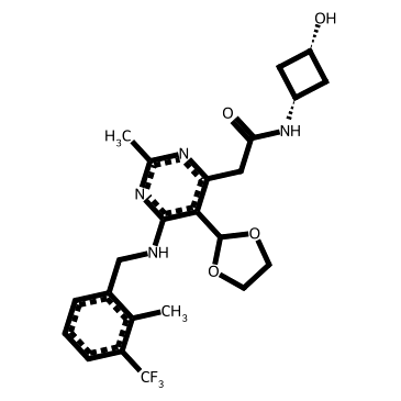 Cc1nc(CC(=O)N[C@H]2C[C@@H](O)C2)c(C2OCCO2)c(NCc2cccc(C(F)(F)F)c2C)n1